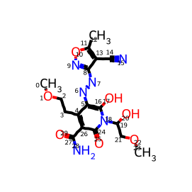 COCCc1c(N=Nc2noc(C)c2C#N)c(O)n(C(O)COC)c(=O)c1C(N)=O